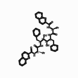 CC(C)[C@H](NC(=O)c1ccc2ccccc2n1)C(=O)N[C@@H](Cc1ccccc1)[C@@H](O)[C@H](O)[C@H](Cc1ccccc1)NC(=O)[C@@H](NC(=O)c1ccc2ccccc2n1)C(C)C